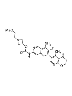 COCCN1CC(OC(=O)Nc2cc3cc(-c4cnc5c(c4C)NCCO5)c(F)c(N)c3cn2)C1